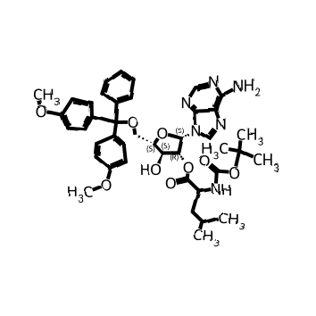 COc1ccc(C(OC[C@@H]2O[C@H](n3cnc4c(N)ncnc43)[C@H](OC(=O)C(CC(C)C)NC(=O)OC(C)(C)C)[C@H]2O)(c2ccccc2)c2ccc(OC)cc2)cc1